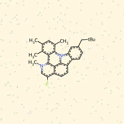 Cc1cc(C)c2c(c1C)c1c3c(ccc4c5ccc(CC(C)(C)C)cc5n2c43)c(F)c[n+]1C